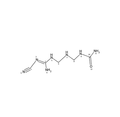 N#C/N=C(\N)NCNCNC(N)=O